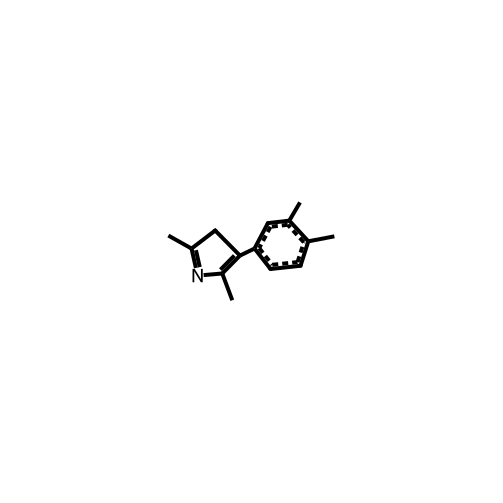 CC1=NC(C)=C(c2ccc(C)c(C)c2)C1